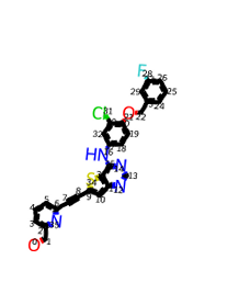 O=Cc1cccc(C#Cc2cc3ncnc(Nc4ccc(OCc5cccc(F)c5)c(Cl)c4)c3s2)n1